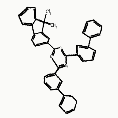 CC1(C)c2ccccc2-c2ccc(-c3nc(-c4cccc(C5=CC=CCC5)c4)nc(-c4cccc(-c5ccccc5)c4)n3)cc21